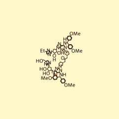 CCc1cnn([C@H]2C[C@@H](n3cnc4c(NC(c5ccc(OC)cc5)c5ccc(OC)cc5)nc(N5CC[C@@H](CC(=O)C[C@@H]6CCN(c7nc(NC(c8ccc(OC)cc8)c8ccc(OC)cc8)c8ncn([C@@H]9C[C@H](n%10ncc(CO)n%10)[C@@H](O)[C@H]9O)c8n7)C6)C5)nc43)[C@H](O)[C@@H]2O)n1